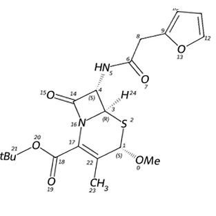 CO[C@H]1S[C@@H]2[C@@H](NC(=O)Cc3ccco3)C(=O)N2C(C(=O)OC(C)(C)C)=C1C